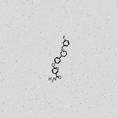 NC(=O)c1ccc(Oc2ccc(C3CCCN(Cc4cccc(F)c4)C3)cc2)nc1